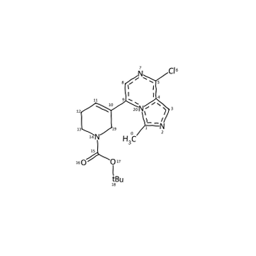 Cc1ncc2c(Cl)ncc(C3=CCCN(C(=O)OC(C)(C)C)C3)n12